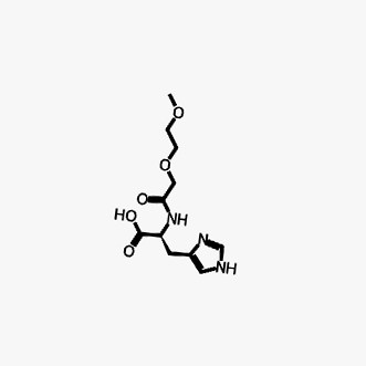 COCCOCC(=O)N[C@@H](Cc1c[nH]cn1)C(=O)O